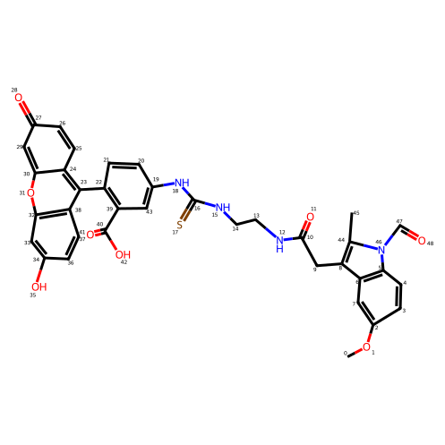 COc1ccc2c(c1)c(CC(=O)NCCNC(=S)Nc1ccc(-c3c4ccc(=O)cc-4oc4cc(O)ccc34)c(C(=O)O)c1)c(C)n2C=O